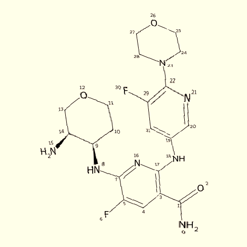 NC(=O)c1cc(F)c(N[C@@H]2CCOC[C@@H]2N)nc1Nc1cnc(N2CCOCC2)c(F)c1